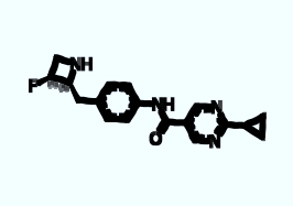 O=C(Nc1ccc(C[C@@H]2NC[C@@H]2F)cc1)c1cnc(C2CC2)nc1